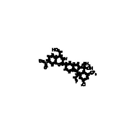 BC(O)(c1ccc(Cl)cc1C(F)(F)F)c1cc2cc(C(=O)NC(CO)c3ccc([S+]([O-])CC)cc3)ccc2n1CCF